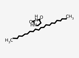 CCCCCCCCCCCCCCCCCCCCCC.O=C1CCNC(=O)N1